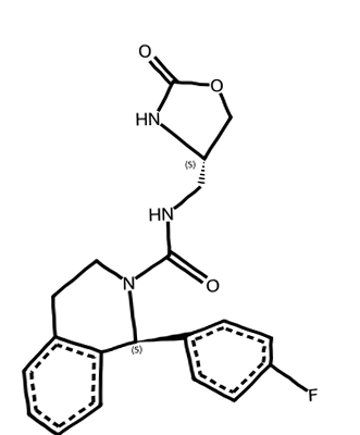 O=C1N[C@@H](CNC(=O)N2CCc3ccccc3[C@@H]2c2ccc(F)cc2)CO1